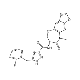 CN1C(=O)[C@@H](NC(=O)c2n[nH]c(Cc3ccccc3F)n2)COc2cc3ncoc3cc21